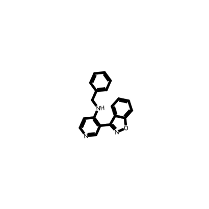 c1ccc(CNc2ccncc2-c2noc3ccccc23)cc1